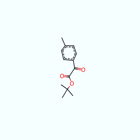 Cc1ccc(C(=O)C(=O)OC(C)(C)C)cc1